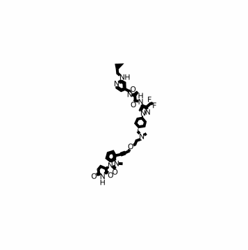 CN(CCCOCC#Cc1cccc2c1n(C)c(=O)n2C1CCC(=O)NC1=O)C[C@H]1CC[C@H](n2cc(NC(=O)c3coc(-c4ccnc(NCC5CC5)c4)n3)c(C(F)F)n2)CC1